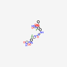 Cn1c(=O)n(C2CCC(=O)NC2=O)c2ccc(C3CCN(CC(=O)N4CC(Nc5ccc6cc(OCc7ccccc7)c(N7CC(=O)NS7(O)O)c(F)c6c5)C4)CC3(F)F)cc21